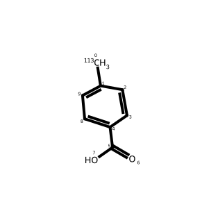 [113CH3]c1ccc(C(=O)O)cc1